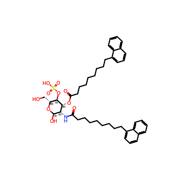 O=C(CCCCCCCCc1cccc2ccccc12)N[C@H]1[C@@H](OC(=O)CCCCCCCCc2cccc3ccccc23)[C@H](OS(=O)(=O)O)[C@@H](CO)O[C@@H]1O